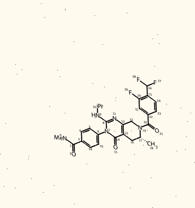 CNC(=O)c1ccc(-n2c(NC(C)C)nc3c(c2=O)C[C@@H](C)N(C(=O)c2ccc(C(F)F)c(F)c2)C3)cc1